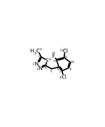 Cc1nnc(Cc2c(Cl)ccc(Cl)c2F)s1